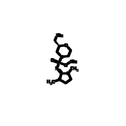 CN1CCN(C)C1=NP(=O)(OC(C)(C)C)N1CCO[C@@H](CC(C)(C)C)C1